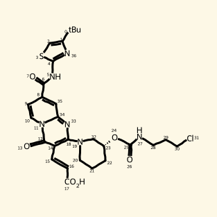 CC(C)(C)c1csc(NC(=O)c2ccn3c(=O)c(/C=C/C(=O)O)c(N4CCC[C@@H](OC(=O)NCCCCl)C4)nc3c2)n1